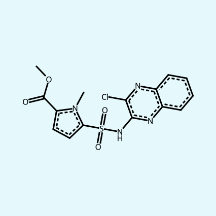 COC(=O)c1ccc(S(=O)(=O)Nc2nc3ccccc3nc2Cl)n1C